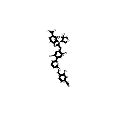 CC1(C)COCC1n1c(Cc2cc(F)c(-c3cccc(OCc4ccc(C#N)cc4F)n3)cc2Cl)nc2ccc(C(=O)O)cc21